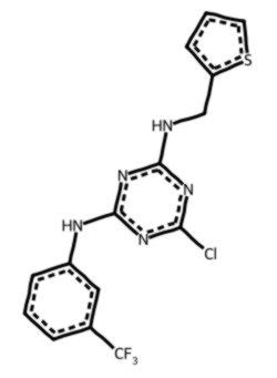 FC(F)(F)c1cccc(Nc2nc(Cl)nc(NCc3cccs3)n2)c1